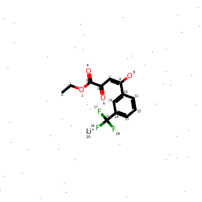 CCOC(=O)C(=O)/C=C(/[O-])c1cccc(C(F)(F)F)c1.[Li+]